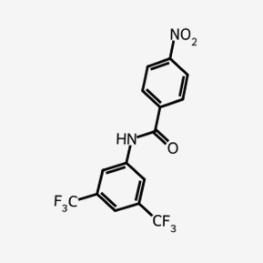 O=C(Nc1cc(C(F)(F)F)cc(C(F)(F)F)c1)c1ccc([N+](=O)[O-])cc1